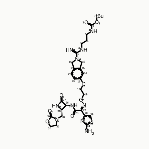 CC(C)(C)OC(=O)NCCCNC(=N)N1Cc2ccc(OCCO/N=C(\C(=O)N[C@@H]3C(=O)N[C@@H]3CN3CCOC3=O)c3csc(N)n3)cc2C1